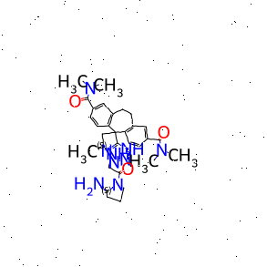 C[C@@H](CC1(c2nnn[nH]2)c2ccc(C(=O)N(C)C)cc2CCc2cc(C(=O)N(C)C)ccc21)NCC(=O)N1CCC[C@H]1N